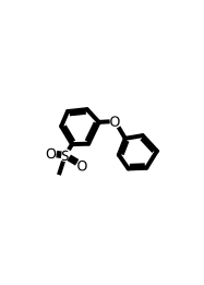 CS(=O)(=O)c1cccc(Oc2ccccc2)c1